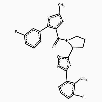 Cc1nc(C(=O)N2CCCC2c2nc(-c3cccc(Cl)c3C)no2)c(-c2cccc(F)c2)s1